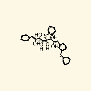 OC(=Cc1ccccc1)[C@@H](O)[C@@H](O)[C@@](O)(Sc1ccccc1)[C@@H](O)C(O)=Cc1cccc(Sc2ccccc2)c1